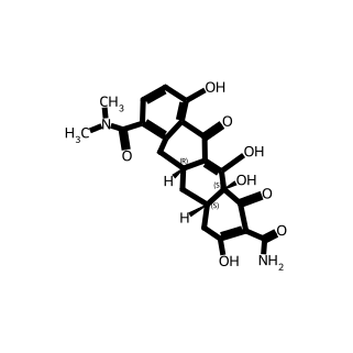 CN(C)C(=O)c1ccc(O)c2c1C[C@H]1C[C@H]3CC(O)=C(C(N)=O)C(=O)[C@@]3(O)C(O)=C1C2=O